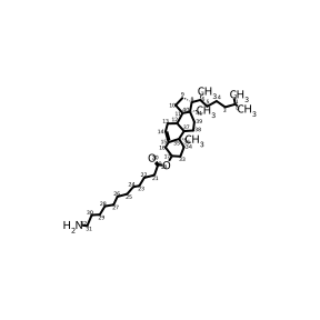 CC(C)CCC[C@@H](C)[C@H]1CCC2C3CC=C4CC(OC(=O)CCCCCCCCCCCN)CC[C@]4(C)C3CC[C@@]21C